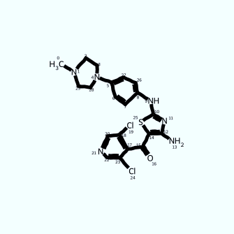 CN1CCN(c2ccc(Nc3nc(N)c(C(=O)c4c(Cl)cncc4Cl)s3)cc2)CC1